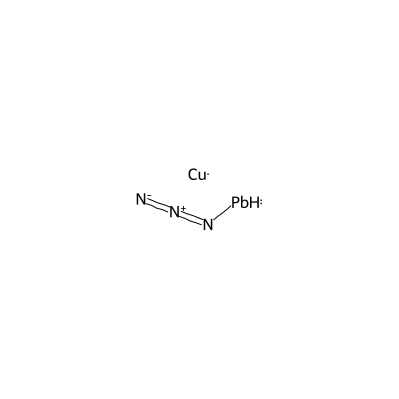 [Cu].[N-]=[N+]=[N][PbH]